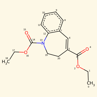 CCOC(=O)C1=Cc2ccccc2N(C(=O)OCC)CC1